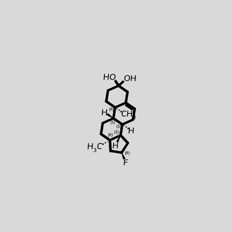 C[C@]12CC[C@H]3[C@@H](CC=C4CC(O)(O)CC[C@@]43C)[C@@H]1C[C@@H](F)C2